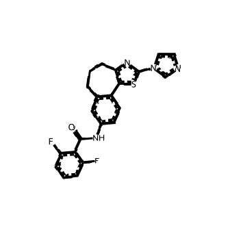 O=C(Nc1ccc2c(c1)CCCc1nc(-n3ccnc3)sc1-2)c1c(F)cccc1F